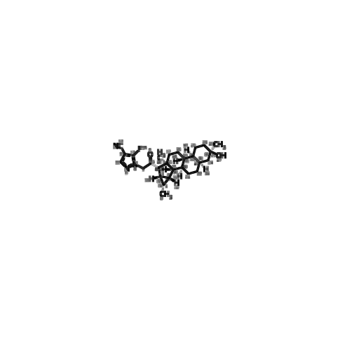 C[C@H]1[C@@H]2[C@H]1[C@H](C(=O)Cn1ncc(C#N)c1F)[C@@]1(C)CC[C@H]3[C@@H](CC[C@@H]4C[C@](C)(O)CC[C@@H]43)[C@H]21